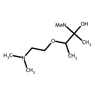 CNC(C)(O)C(C)OCCN(C)C